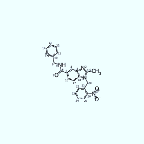 Cc1nc2cc(C(=O)NCc3ccccn3)ccc2n1Cc1ccccc1[N+](=O)[O-]